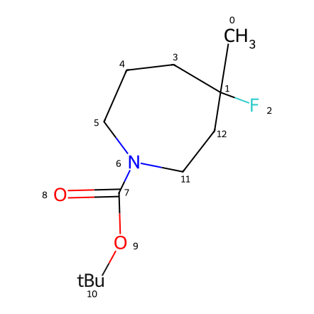 CC1(F)CCCN(C(=O)OC(C)(C)C)CC1